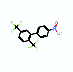 O=[N+]([O-])c1ccc(-c2cc(C(F)(F)F)ccc2C(F)(F)F)cc1